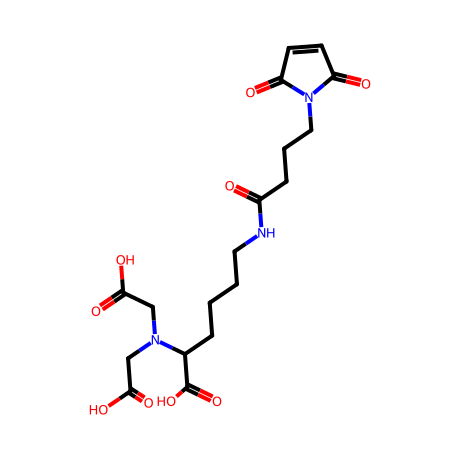 O=C(O)CN(CC(=O)O)C(CCCCNC(=O)CCCN1C(=O)C=CC1=O)C(=O)O